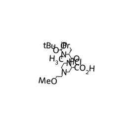 COCCN1CCN(C(=O)[C@H](CC(C)C)N(C)C(=O)OC(C)(C)C)[C@@H](C(=O)O)C1.Cl